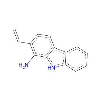 C=Cc1ccc2c([nH]c3ccccc32)c1N